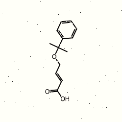 CC(C)(OC/C=C/C(=O)O)c1ccccc1